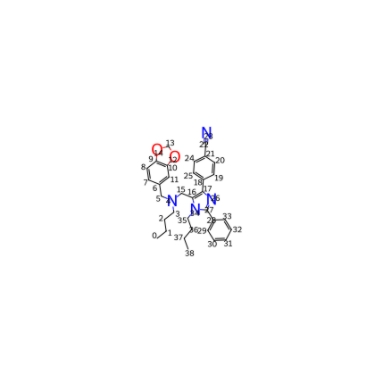 CCCCN(Cc1ccc2c(c1)OCO2)Cc1c(-c2ccc(C#N)cc2)nc(-c2ccccc2)n1CCCC